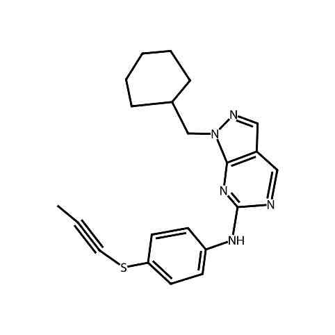 CC#CSc1ccc(Nc2ncc3cnn(CC4CCCCC4)c3n2)cc1